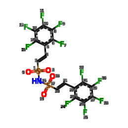 O=S(=O)(C=Cc1c(F)c(F)c(F)c(F)c1F)NS(=O)(=O)C=Cc1c(F)c(F)c(F)c(F)c1F